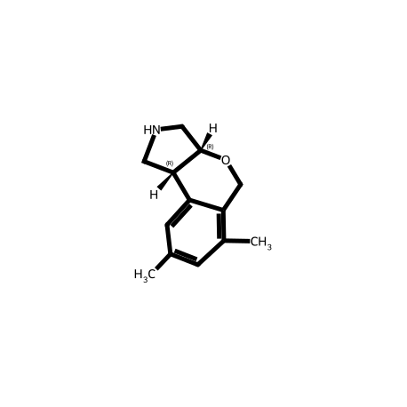 Cc1cc(C)c2c(c1)[C@@H]1CNC[C@@H]1OC2